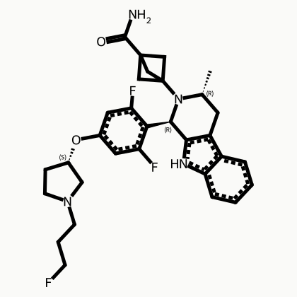 C[C@@H]1Cc2c([nH]c3ccccc23)[C@@H](c2c(F)cc(O[C@H]3CCN(CCCF)C3)cc2F)N1C12CC(C(N)=O)(C1)C2